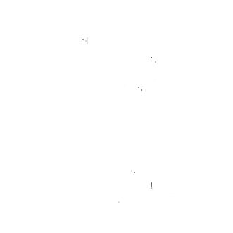 CCN(C)c1ccc2c(c1)c(=O)n(-c1ccc(C[C@H](NC(=O)c3c(Cl)cccc3Cl)C(=O)O)cc1)c(=O)n2C